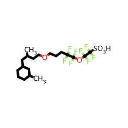 CC1CCCC(CC(C)CCOCCCC(F)(F)C(F)(F)OC(F)(F)C(F)(F)S(=O)(=O)O)C1